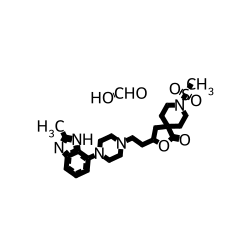 Cc1nc2cccc(N3CCN(CCC4CC5(CCN(S(C)(=O)=O)CC5)C(=O)O4)CC3)c2[nH]1.O=CO